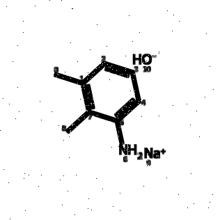 Cc1cccc(N)c1C.[Na+].[OH-]